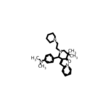 CN(C)c1ccc(C2C(=Cc3ccccn3)C(=O)C(C)(C)CN2CCN2CCCCC2)cc1